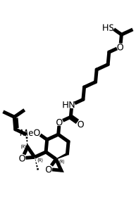 COC1C(OC(=O)NCCCCCCOC(C)S)CC[C@]2(CO2)C1[C@@]1(C)O[C@@H]1CC=C(C)C